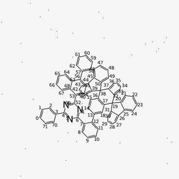 c1ccc(-c2nc(-c3ccccc3-c3ccc4c(c3)C3(c5ccccc5-c5ccccc53)c3ccccc3C43c4ccccc4-c4ccccc43)nc(-c3ccc(-c4ccccc4)c4ccccc34)n2)cc1